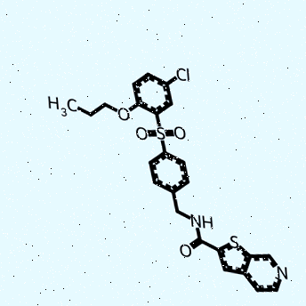 CCCOc1ccc(Cl)cc1S(=O)(=O)c1ccc(CNC(=O)c2cc3ccncc3s2)cc1